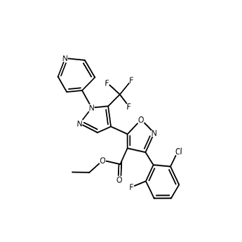 CCOC(=O)c1c(-c2c(F)cccc2Cl)noc1-c1cnn(-c2ccncc2)c1C(F)(F)F